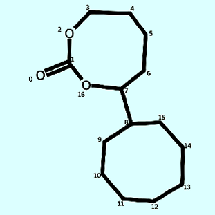 O=C1OCCCCC(C2CCCCCCC2)O1